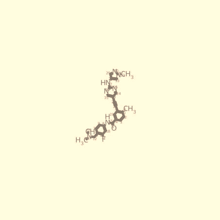 Cc1ccc(C(=O)Nc2ccc(CN(C)C)c(F)c2)cc1C#Cc1cnc(Nc2cnn(C)c2)nc1